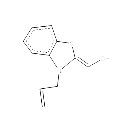 C=CCN1/C(=C/O)Sc2ccccc21